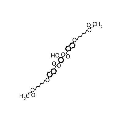 C=CC(=O)OCCCCCCOc1ccc2cc(C(=O)Oc3ccc(OC(=O)c4ccc5cc(OCCCCCCOC(=O)C=C)ccc5c4)c(O)c3)ccc2c1